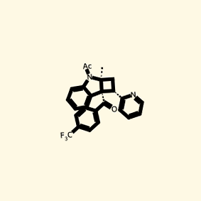 CC(=O)N1c2ccccc2[C@]2(C(=O)c3ccc(C(F)(F)F)cc3)[C@@H](c3ccccn3)C[C@]12C